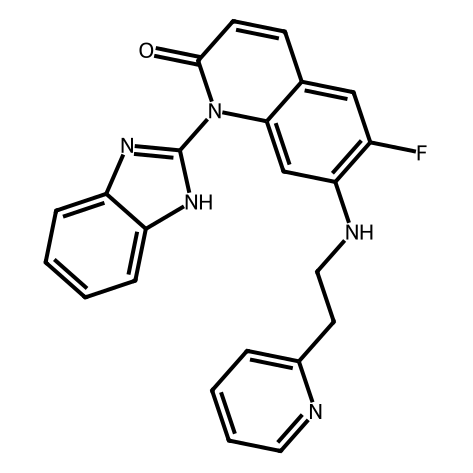 O=c1ccc2cc(F)c(NCCc3ccccn3)cc2n1-c1nc2ccccc2[nH]1